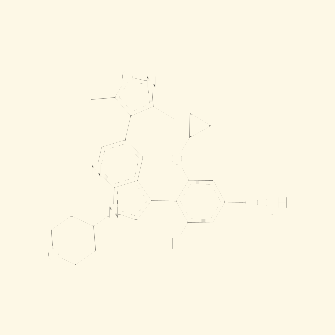 Cc1noc(C)c1-c1cnc2c(c1)c(-c1c(F)cc(C(=O)O)cc1OC1CC1)cn2C1CCOCC1